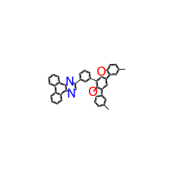 Cc1ccc2oc3c(-c4cccc(-c5cnc6c7ccccc7c7ccccc7c6n5)c4)c4oc5ccc(C)cc5c4cc3c2c1